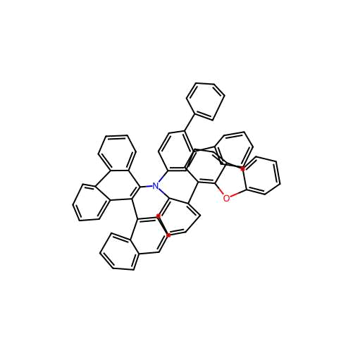 c1ccc(-c2ccc(N(c3ccccc3-c3cccc4c3oc3ccccc34)c3c(-c4cccc5ccccc45)c4ccccc4c4ccccc34)cc2-c2ccccc2)cc1